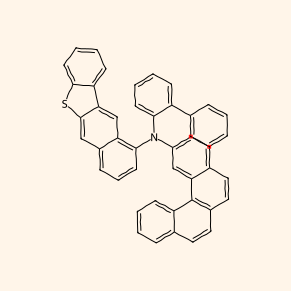 c1ccc(-c2ccccc2N(c2ccc3ccc4ccc5ccccc5c4c3c2)c2cccc3cc4sc5ccccc5c4cc23)cc1